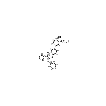 O=C(O)c1cc(-c2ccc(CN(Cc3ccccc3)C(=O)c3ccco3)cc2)ccc1O